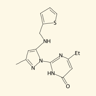 CCc1cc(=O)[nH]c(-n2nc(C)cc2NCc2cccs2)n1